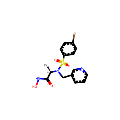 CC(C)[C@H](C(=O)NO)N(Cc1cccnc1)S(=O)(=O)c1ccc(Br)cc1